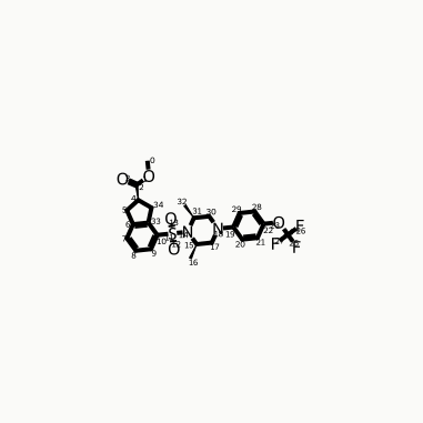 COC(=O)[C@@H]1Cc2cccc(S(=O)(=O)N3[C@H](C)CN(c4ccc(OC(F)(F)F)cc4)C[C@@H]3C)c2C1